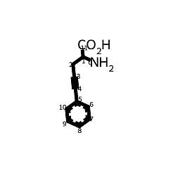 NC(CC#Cc1ccccc1)C(=O)O